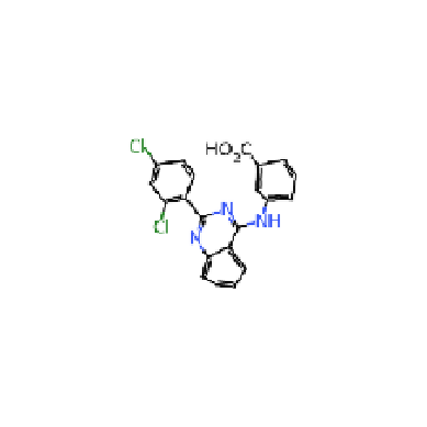 O=C(O)c1cccc(Nc2nc(-c3ccc(Cl)cc3Cl)nc3ccccc23)c1